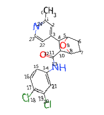 Cc1cc(C2C3CCC(O3)C2C(=O)Nc2ccc(Cl)c(Cl)c2)ccn1